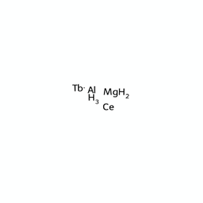 [AlH3].[Ce].[MgH2].[Tb]